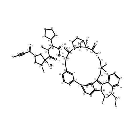 CC#CC(=O)N1C[C@H](C)C(O)(C(=O)N(C)[C@H](C(=O)N[C@H]2Cc3cccc(c3)-c3ccc4c(c3)c(c(-c3cccnc3[C@H](C)OC)n4CC)CC(C)(C)COC(=O)[C@@H]3CCCN(N3)C2=O)C2CCCC2)C1